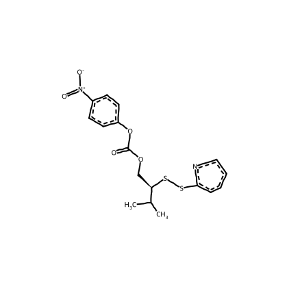 CC(C)[C@@H](COC(=O)Oc1ccc([N+](=O)[O-])cc1)SSc1ccccn1